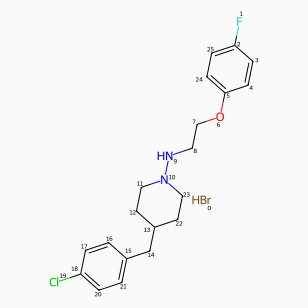 Br.Fc1ccc(OCCNN2CCC(Cc3ccc(Cl)cc3)CC2)cc1